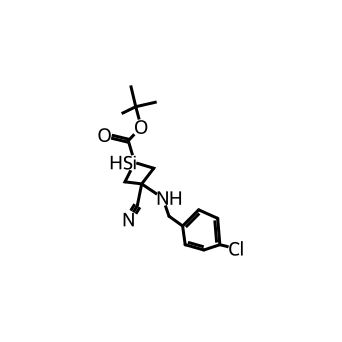 CC(C)(C)OC(=O)[SiH]1CC(C#N)(NCc2ccc(Cl)cc2)C1